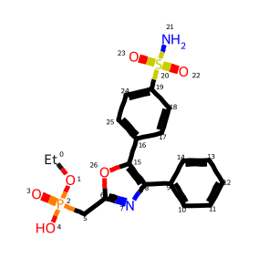 CCOP(=O)(O)Cc1nc(-c2ccccc2)c(-c2ccc(S(N)(=O)=O)cc2)o1